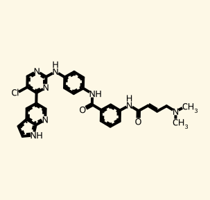 CN(C)CC=CC(=O)Nc1cccc(C(=O)Nc2ccc(Nc3ncc(Cl)c(-c4cnc5[nH]ccc5c4)n3)cc2)c1